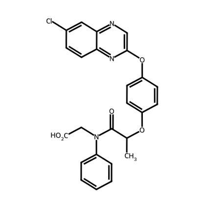 CC(Oc1ccc(Oc2cnc3cc(Cl)ccc3n2)cc1)C(=O)N(CC(=O)O)c1ccccc1